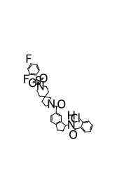 O=C(NC1CCc2ccc(C(=O)N3CCC4(CCN(S(=O)(=O)c5ccc(F)cc5F)CC4)C3)cc21)c1ccccc1Cl